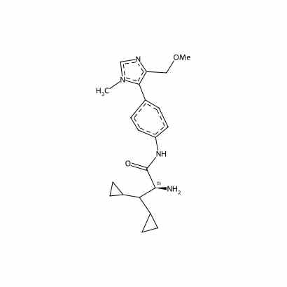 COCc1ncn(C)c1-c1ccc(NC(=O)[C@@H](N)C(C2CC2)C2CC2)cc1